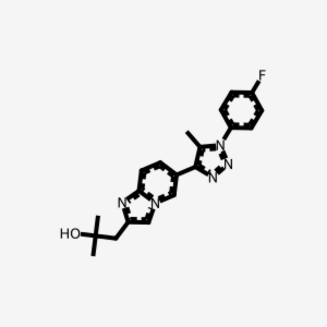 Cc1c(-c2ccc3nc(CC(C)(C)O)cn3c2)nnn1-c1ccc(F)cc1